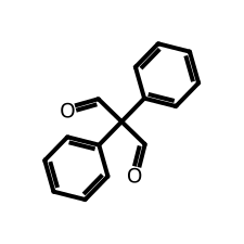 O=CC(C=O)(c1ccccc1)c1ccccc1